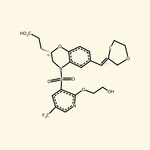 O=C(O)CC[C@H]1CN(S(=O)(=O)c2cc(C(F)(F)F)cnc2OCCO)c2cc(/C=C3\CCCOC3)ccc2O1